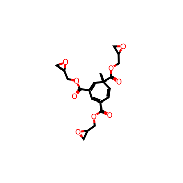 CC1(C(=O)OCC2CO2)C=CC(C(=O)OCC2CO2)=CC(C(=O)OCC2CO2)=C1